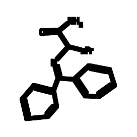 CCCC(N=C(c1ccccc1)c1ccccc1)C(N)=O